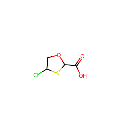 O=C(O)C1OCC(Cl)S1